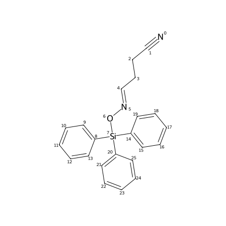 N#CCCC=NO[Si](c1ccccc1)(c1ccccc1)c1ccccc1